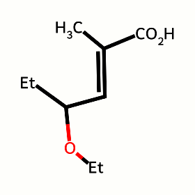 CCOC(C=C(C)C(=O)O)CC